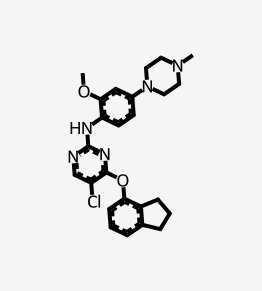 COc1cc(N2CCN(C)CC2)ccc1Nc1ncc(Cl)c(Oc2cccc3c2CCC3)n1